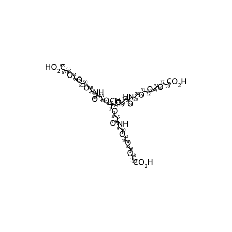 CC(COCCC(=O)NCCOCCOCCOCCC(=O)O)(COCCC(=O)NCCOCCOCCOCCC(=O)O)COCCC(=O)NCCOCCOCCOCCC(=O)O